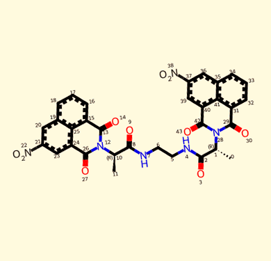 C[C@H](C(=O)NCCNC(=O)[C@@H](C)N1C(=O)c2cccc3cc([N+](=O)[O-])cc(c23)C1=O)N1C(=O)c2cccc3cc([N+](=O)[O-])cc(c23)C1=O